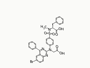 CN([C@@H](Cc1ccccc1)C(=O)O)S(=O)(=O)c1ccc(N(CC(=O)O)c2nc(-c3ccccc3)c3cc(Br)ccc3n2)cc1